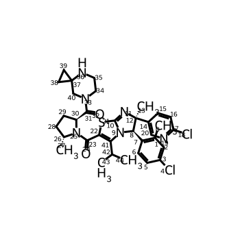 Cc1cc(Cl)ccc1[C@H]1N2C(=N[C@@]1(C)c1ccc(Cl)nc1)SC(C(=O)N1[C@H](C)CC[C@H]1C(=O)N1CCNC3(CC3)C1)=C2C(C)C